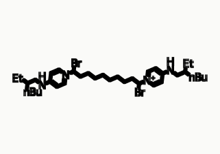 CCCCC(CC)CNc1cc[n+](C(Br)CCCCCCCCC(Br)[n+]2ccc(NCC(CC)CCCC)cc2)cc1